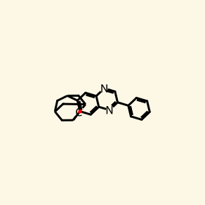 c1ccc(-c2cnc3cc4c(cc3n2)C2CC3CC(CC4C3)C2)cc1